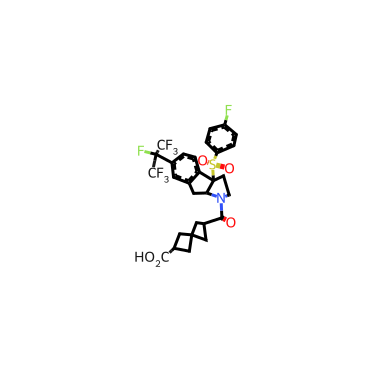 O=C(O)C1CC2(C1)CC(C(=O)N1CCC3(S(=O)(=O)c4ccc(F)cc4)c4ccc(C(F)(C(F)(F)F)C(F)(F)F)cc4CC13)C2